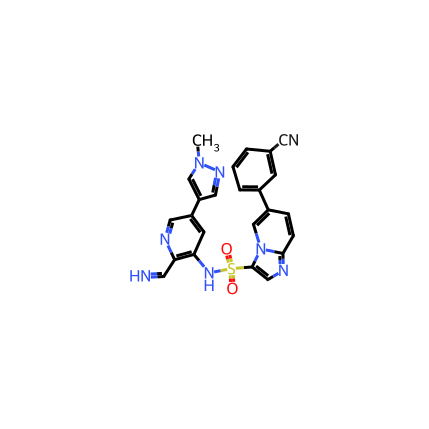 Cn1cc(-c2cnc(C=N)c(NS(=O)(=O)c3cnc4ccc(-c5cccc(C#N)c5)cn34)c2)cn1